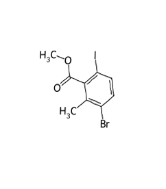 COC(=O)c1c(I)ccc(Br)c1C